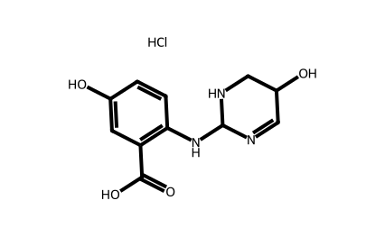 Cl.O=C(O)c1cc(O)ccc1NC1N=CC(O)CN1